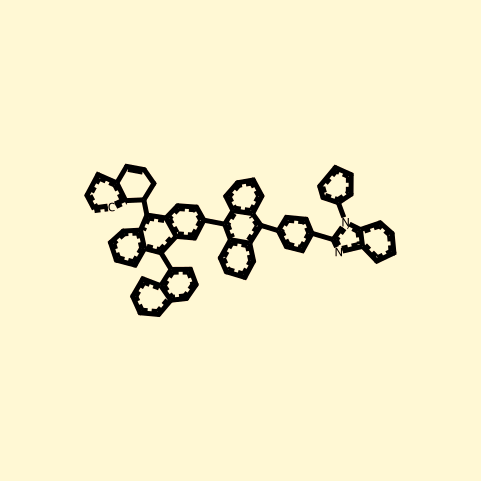 C1=Cc2ccccc2C(c2c3ccccc3c(-c3cccc4ccccc34)c3cc(-c4c5ccccc5c(-c5ccc(-c6nc7ccccc7n6-c6ccccc6)cc5)c5ccccc45)ccc23)C1